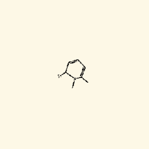 CCC1C=CC=C(C)N1C